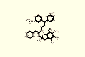 Cc1c(C)c2c(c(C)c1N)CC(C)(CC(CC1CCNCC1)NCCC(c1ccccc1)c1ccccc1)O2.Cl.Cl.Cl